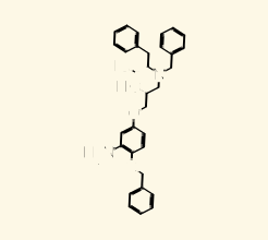 Nc1cc(OC[C@@H](O)CN(Cc2ccccc2)[C@H](CO)Cc2ccccc2)ccc1OCc1ccccc1